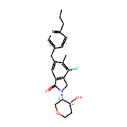 C=C(/C=C\C(=C/C)Cc1cc2c(c(F)c1C)CN([C@H]1COCC[C@@H]1O)C2=O)CCC